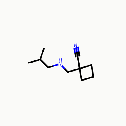 CC(C)CNCC1(C#N)CCC1